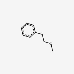 COCCc1ccccc1